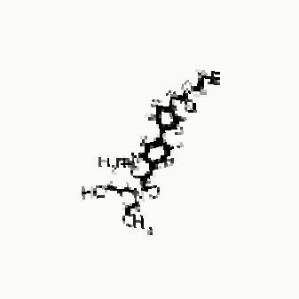 CCCN(CCCO)C(=O)C1=Cc2ccc(-c3ccc(CC(=O)OCCF)cc3)cc2N=C(N)C1